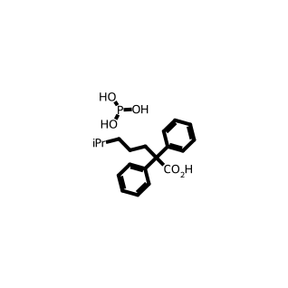 CC(C)CCCC(C(=O)O)(c1ccccc1)c1ccccc1.OP(O)O